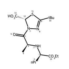 CCC[C@@H](N[C@@H](C)C(=O)N1N=C(C(C)(C)C)S[C@H]1C(=O)O)C(=O)OCC